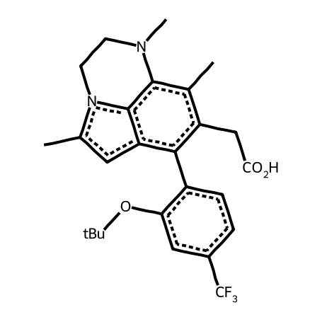 Cc1c(CC(=O)O)c(-c2ccc(C(F)(F)F)cc2OC(C)(C)C)c2cc(C)n3c2c1N(C)CC3